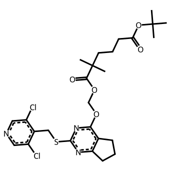 CC(C)(C)OC(=O)CCCC(C)(C)C(=O)OCOc1nc(SCc2c(Cl)cncc2Cl)nc2c1CCC2